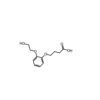 O=C(O)CCCOc1ccccc1OCCO